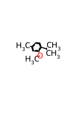 COc1cc(C)ccc1C(C)C